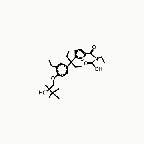 CCc1cc(C(CC)(CC)c2ccc(C(=O)N(CC)C(=O)O)s2)ccc1OCC(C)(O)C(C)(C)C